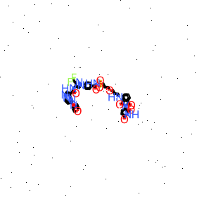 O=C1CCC(N2C(=O)c3cccc(NCCCOCCCS(=O)(=O)NC(=O)C4CCC(n5cc(NC(=O)c6cnn7ccc(N8CC9CC8CO9)nc67)c(C(F)F)n5)CC4)c3C2=O)C(=O)N1